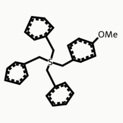 COc1ccc(CS(Cc2ccccc2)(Cc2ccccc2)Cc2ccccc2)cc1